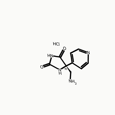 Cl.NC[C@@]1(c2ccncc2)NC(=O)NC1=O